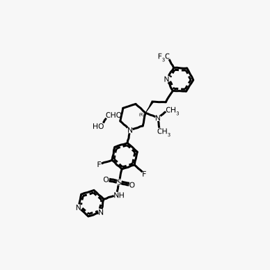 CN(C)[C@@]1(CCc2cccc(C(F)(F)F)n2)CCCN(c2cc(F)c(S(=O)(=O)Nc3ccncn3)c(F)c2)C1.O=CO